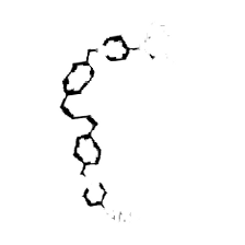 CNc1cc[n+](Cc2ccc(/C=C\C=C/c3ccc(C[n+]4ccc(N(C)C)cc4)cc3)cc2)cc1